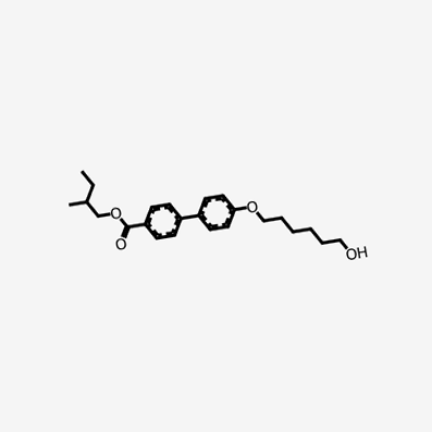 CCC(C)COC(=O)c1ccc(-c2ccc(OCCCCCCO)cc2)cc1